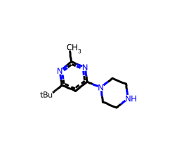 Cc1nc(N2CCNCC2)cc(C(C)(C)C)n1